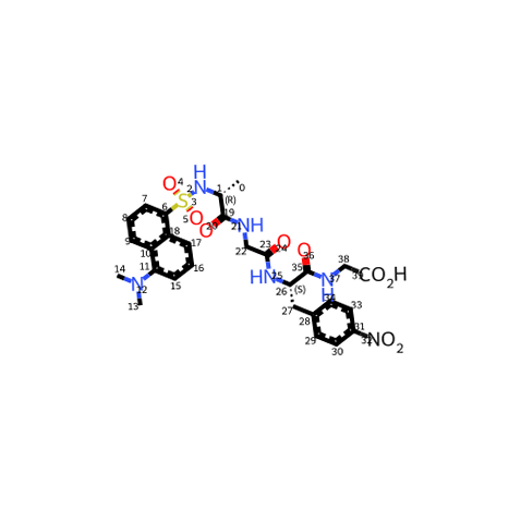 C[C@@H](NS(=O)(=O)c1cccc2c(N(C)C)cccc12)C(=O)NCC(=O)N[C@@H](Cc1ccc([N+](=O)[O-])cc1)C(=O)NCC(=O)O